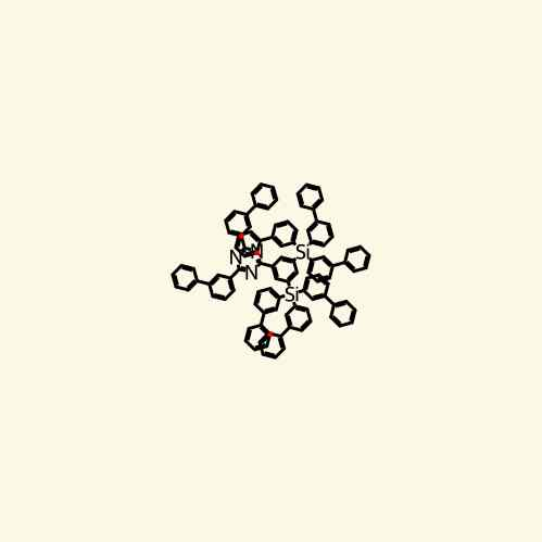 c1ccc(-c2cccc(-c3nc(-c4cccc(-c5ccccc5)c4)nc(-c4cc([Si](c5cccc(-c6ccccc6)c5)(c5cccc(-c6ccccc6)c5)c5cccc(-c6ccccc6)c5)cc([Si](c5cccc(-c6ccccc6)c5)(c5cccc(-c6ccccc6)c5)c5cccc(-c6ccccc6)c5)c4)n3)c2)cc1